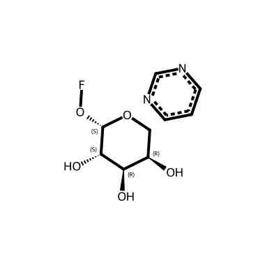 O[C@@H]1[C@H](OF)OC[C@@H](O)[C@H]1O.c1cncnc1